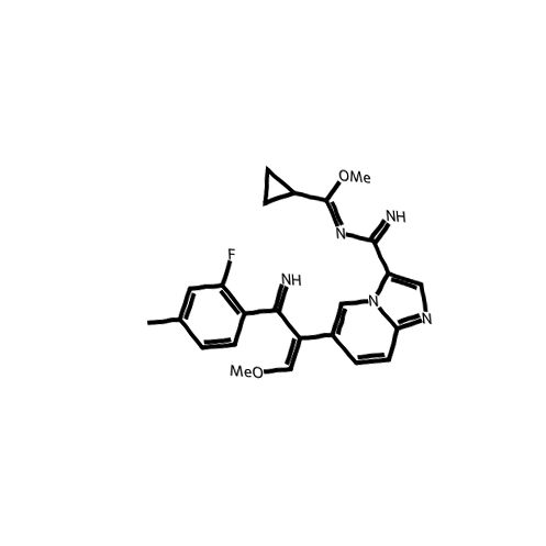 CO/C=C(\C(=N)c1ccc(C)cc1F)c1ccc2ncc(C(=N)/N=C(\OC)C3CC3)n2c1